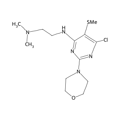 CSc1c(Cl)nc(N2CCOCC2)nc1NCCN(C)C